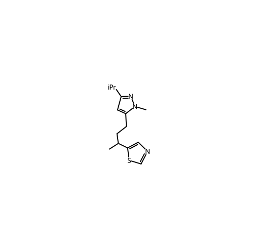 CC(C)c1cc(CCC(C)c2cncs2)n(C)n1